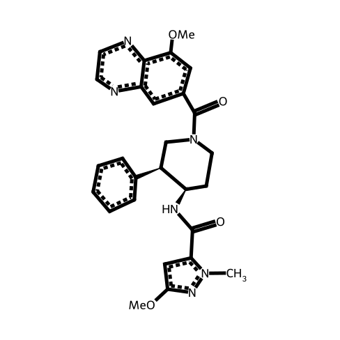 COc1cc(C(=O)N[C@@H]2CCN(C(=O)c3cc(OC)c4nccnc4c3)C[C@@H]2c2ccccc2)n(C)n1